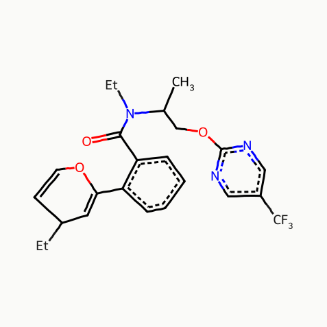 CCC1C=COC(c2ccccc2C(=O)N(CC)C(C)COc2ncc(C(F)(F)F)cn2)=C1